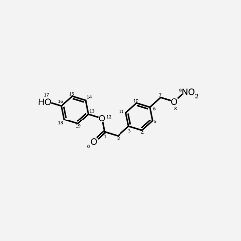 O=C(Cc1ccc(CO[N+](=O)[O-])cc1)Oc1ccc(O)cc1